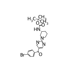 CC(C)(C)OC(=O)N[C@@H]1CCCN(c2ncc(C(=O)c3ccc(Br)cc3)cn2)C1